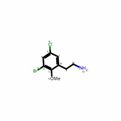 COc1c(Br)cc(Cl)cc1CCN